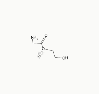 NCC(=O)OCCO.[K+].[OH-]